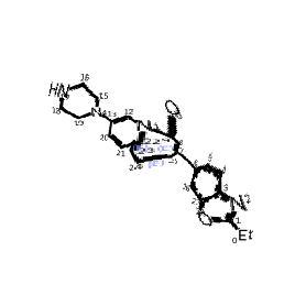 CCc1nc2ccc(C3=C\C(=O)N4C=C(N5CCNCC5)C=C\C4=C/C=C/3)cc2o1